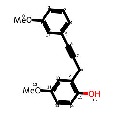 COc1cccc(C#CCc2cc(OC)ccc2O)c1